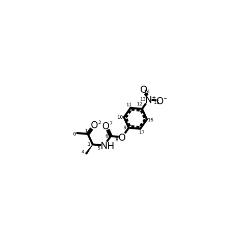 CC(=O)[C@H](C)NC(=O)Oc1ccc([N+](=O)[O-])cc1